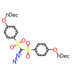 CCCCCCCCCCOc1ccc(S(=O)(=O)C(=[N+]=[N-])S(=O)(=O)c2ccc(OCCCCCCCCCC)cc2)cc1